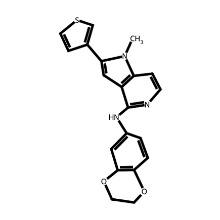 Cn1c(-c2ccsc2)cc2c(Nc3ccc4c(c3)OCCO4)nccc21